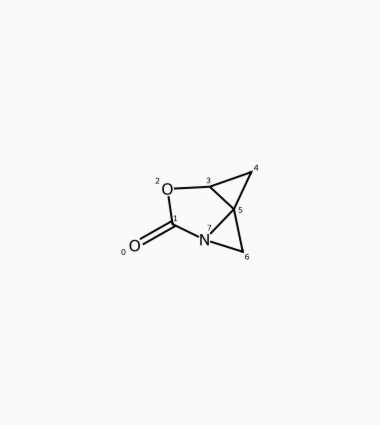 O=C1OC2CC23CN13